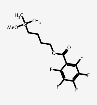 CO[Si](C)(C)CCCCOC(=O)c1c(F)c(F)c(F)c(F)c1F